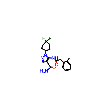 Cc1ccccc1CC(=O)Nc1c(C(N)=O)cnn1C1CCC(F)(F)CC1